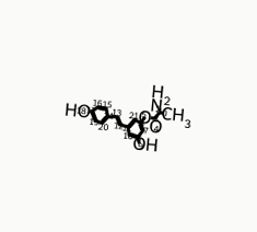 CC(N)C(=O)Oc1cc(O)cc(/C=C/c2ccc(O)cc2)c1